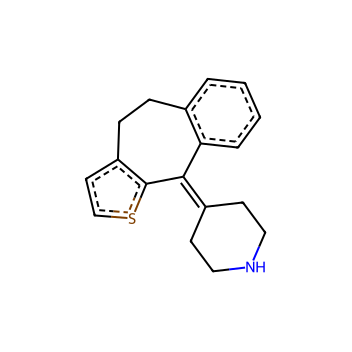 c1ccc2c(c1)CCc1ccsc1C2=C1CCNCC1